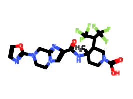 CC1(NC(=O)c2cn3c(n2)CN(c2ncco2)CC3)CCN(C(=O)O)CC1C(C(F)(F)F)C(F)(F)F